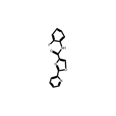 O=C(Nc1ccccc1F)c1coc(-c2ccccn2)n1